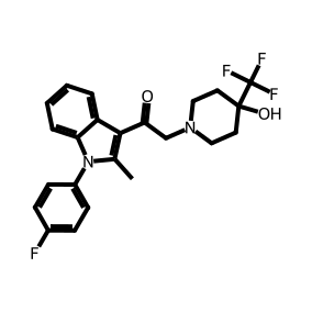 Cc1c(C(=O)CN2CCC(O)(C(F)(F)F)CC2)c2ccccc2n1-c1ccc(F)cc1